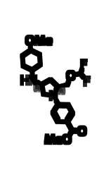 COC(=O)c1ccc(N2C[C@@H](NC3CCC(OC)CC3)C[C@H]2COC(F)F)cc1